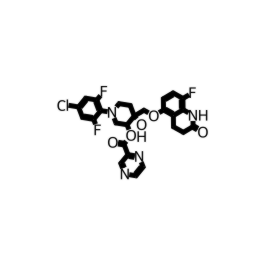 O=C1CCc2c(OCC3(O)CCN(c4c(F)cc(Cl)cc4F)CC3OC(=O)c3cnccn3)ccc(F)c2N1